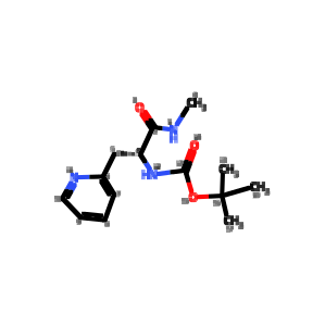 CNC(=O)[C@@H](Cc1ccccn1)NC(=O)OC(C)(C)C